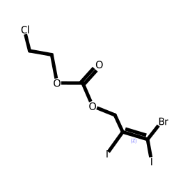 O=C(OCCCl)OC/C(I)=C(\Br)I